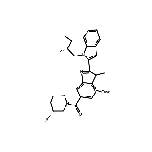 COc1cc(C(=O)N2CCC[C@@H](N)C2)cc2nc(-c3cc4ccccc4n3C[C@H](C)CI)n(C)c12